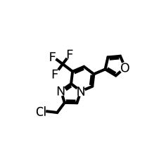 FC(F)(F)c1cc(-c2ccoc2)cn2cc(CCl)nc12